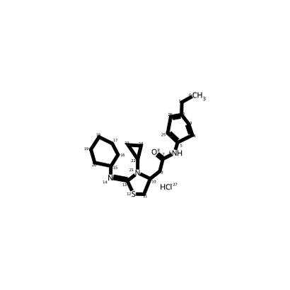 CCc1ccc(NC(=O)CC2CSC(=NC3CCCCC3)N2C2CC2)cc1.Cl